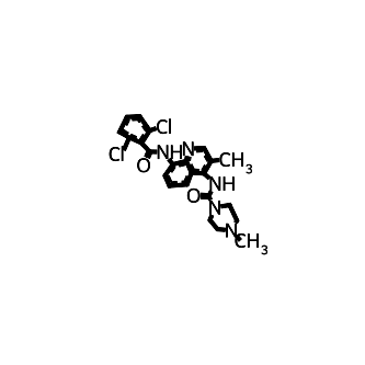 Cc1cnc2c(NC(=O)c3c(Cl)cccc3Cl)cccc2c1NC(=O)N1CCN(C)CC1